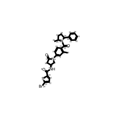 Cc1cc(N2CC(NC(=O)c3ccc(Br)s3)CC2=O)ccc1C(=O)N1C(C)CCC1c1ccccc1